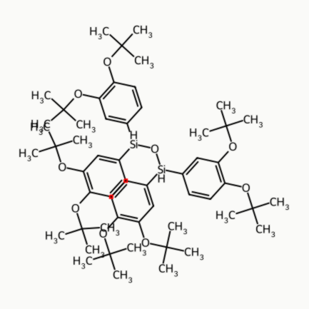 CC(C)(C)Oc1ccc([SiH](O[SiH](c2ccc(OC(C)(C)C)c(OC(C)(C)C)c2)c2ccc(OC(C)(C)C)c(OC(C)(C)C)c2)c2ccc(OC(C)(C)C)c(OC(C)(C)C)c2)cc1OC(C)(C)C